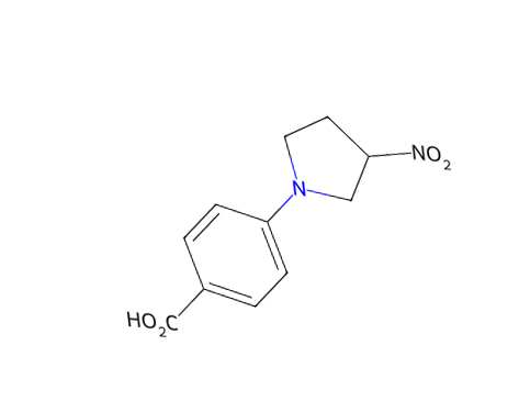 O=C(O)c1ccc(N2CCC([N+](=O)[O-])C2)cc1